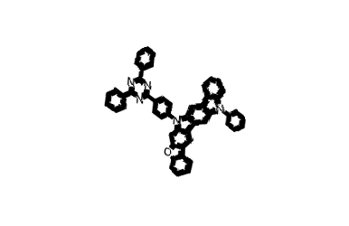 c1ccc(-c2nc(-c3ccccc3)nc(-c3ccc(-n4c5cc6oc7ccccc7c6cc5c5cc6c(cc54)c4ccccc4n6-c4ccccc4)cc3)n2)cc1